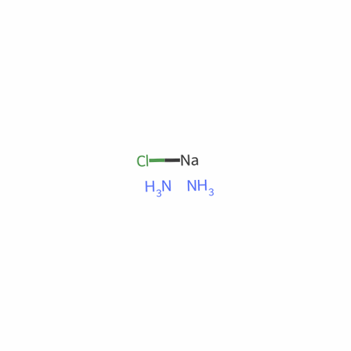 N.N.[Na][Cl]